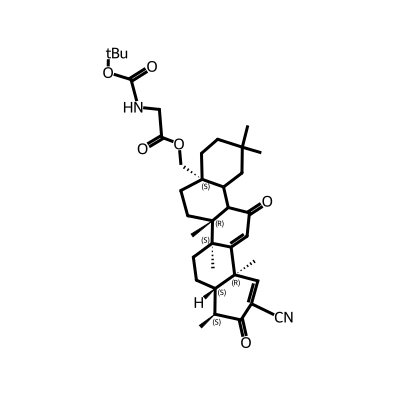 C[C@@H]1C(=O)C(C#N)=C[C@]2(C)C3=CC(=O)C4C5CC(C)(C)CC[C@]5(COC(=O)CNC(=O)OC(C)(C)C)CC[C@@]4(C)[C@]3(C)CC[C@@H]12